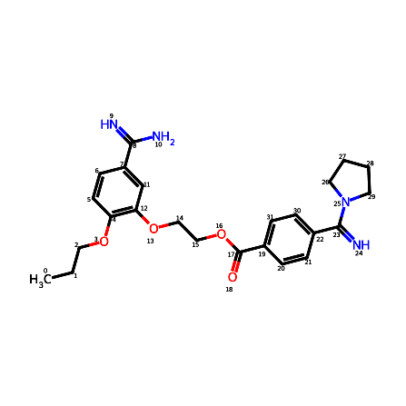 CCCOc1ccc(C(=N)N)cc1OCCOC(=O)c1ccc(C(=N)N2CCCC2)cc1